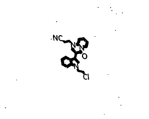 N#CCC[n+]1cc(-c2cn(CCCl)c3ccccc23)c(=O)n2ccccc21